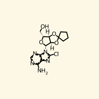 Nc1ncnc2c1nc(Cl)n2[C@@H]1O[C@H](CO)[C@H]2OC3(CCCC3)O[C@H]21